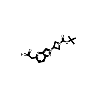 CC(C)(C)OC(=O)N1CC(n2cc3nc(CC(=O)O)ccc3n2)C1